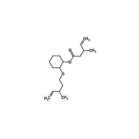 C=CC(C)CCOC1CCCCC1OC(=O)CC(C)C=C